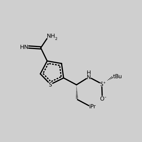 CC(C)C[C@@H](N[S@@+]([O-])C(C)(C)C)c1cc(C(=N)N)cs1